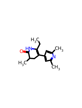 CCC1=C(c2cc(C)nc(C)c2)CC(C)C(=O)N1